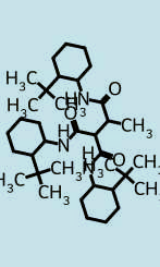 CC(C(=O)NC1CCCCC1C(C)(C)C)C(C(=O)NC1CCCCC1C(C)(C)C)C(=O)NC1CCCCC1C(C)(C)C